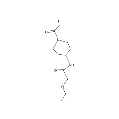 CCOCC(=O)NC1CCN(C(=O)CC)CC1